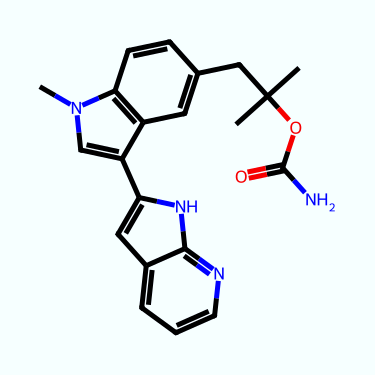 Cn1cc(-c2cc3cccnc3[nH]2)c2cc(CC(C)(C)OC(N)=O)ccc21